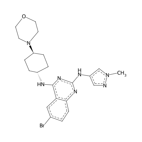 Cn1cc(Nc2nc(N[C@H]3CC[C@H](N4CCOCC4)CC3)c3cc(Br)ccc3n2)cn1